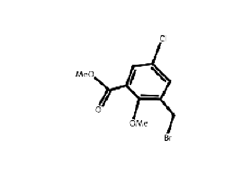 COC(=O)c1cc(Cl)cc(CBr)c1OC